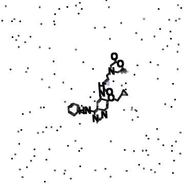 C[C@@H]1CN(C/C=C/C(=O)Nc2cc3c(NCc4ccccc4)ncnc3cc2OCC2CC2)CC(=O)O1